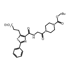 CCCCOC(=O)N1CCN(C(=O)CNC(=O)c2nc(-c3ccccc3)sc2CCC(=O)OCC)CC1